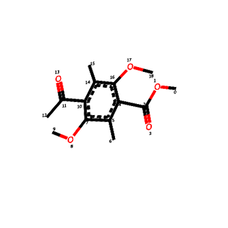 COC(=O)c1c(C)c(OC)c(C(C)=O)c(C)c1OC